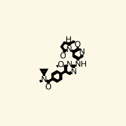 COc1nc(Nc2cnc3c(c2)N2C(=O)CC[C@H]2CO3)ncc1-c1ccc(C(=O)N(C)C2CC2)cc1